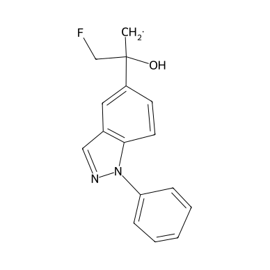 [CH2]C(O)(CF)c1ccc2c(cnn2-c2ccccc2)c1